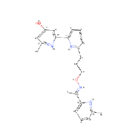 C/C(=N\OCCCc1cccc(-c2cc(O)cc(C)n2)n1)c1cccc(C)n1